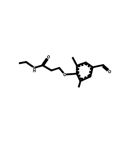 CCNC(=O)CCOc1c(C)cc(C=O)cc1C